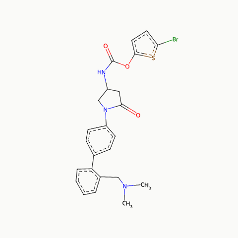 CN(C)Cc1ccccc1-c1ccc(N2CC(NC(=O)Oc3ccc(Br)s3)CC2=O)cc1